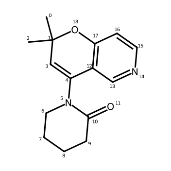 CC1(C)C=C(N2CCCCC2=O)c2cnccc2O1